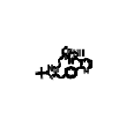 CCCCCn1nc(C(C)(C)C)nc1Cc1ccc(-c2ncccc2-c2nnn[nH]2)cc1